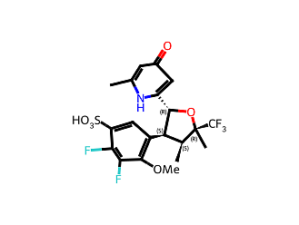 COc1c([C@H]2[C@H](c3cc(=O)cc(C)[nH]3)O[C@@](C)(C(F)(F)F)[C@H]2C)cc(S(=O)(=O)O)c(F)c1F